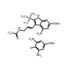 COc1nc(N)c(I)c(N)n1.COc1nc(N)c2c(/C=C/CNC(=O)C(F)(F)F)c([Si](C)(C)C)[nH]c2n1